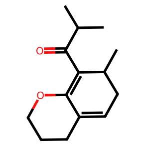 CC(C)C(=O)C1=C2OCCCC2=CCC1C